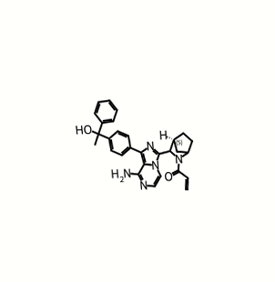 C=CC(=O)N1C2CC[C@@H](C2)C1c1nc(-c2ccc(C(C)(O)c3ccccc3)cc2)c2c(N)nccn12